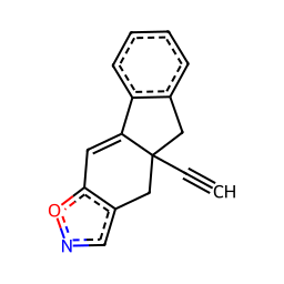 C#CC12Cc3ccccc3C1=Cc1oncc1C2